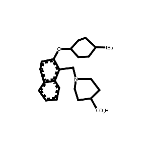 CC(C)(C)C1CCC(Oc2ccc3ccccc3c2CN2CCC(C(=O)O)CC2)CC1